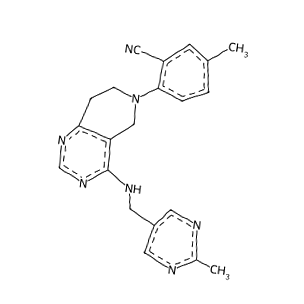 Cc1ccc(N2CCc3ncnc(NCc4cnc(C)nc4)c3C2)c(C#N)c1